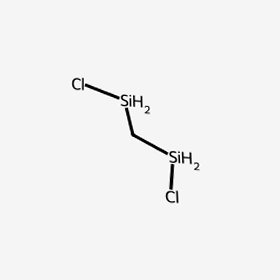 Cl[SiH2]C[SiH2]Cl